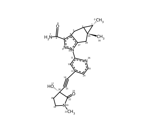 C[C@H]1C2Cc3c(C(N)=O)nn(-c4cc(C#C[C@]5(O)CCN(C)C5=O)ccn4)c3C[C@]21C